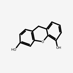 Oc1ccc2c(c1)Oc1c(O)cccc1C2